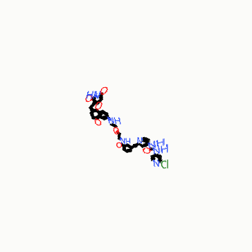 O=C1CCC(CC2CCC(=O)c3cc(NCCOCCNC(=O)c4cccc(C#Cc5cc(NC(=O)Nc6ccnc(Cl)c6)ccn5)c4)ccc3C2=O)C(=O)N1